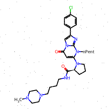 CCCCCn1c(N2CCC[C@H]2C(=O)NCCCCN2CCN(C)CC2)cc(=O)n2cc(-c3ccc(Cl)cc3)nc12